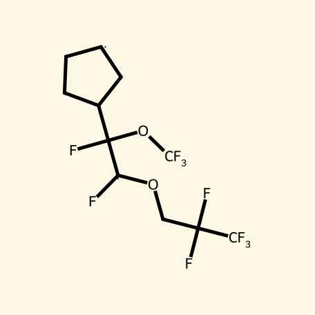 F[C](OCC(F)(F)C(F)(F)F)C(F)(OC(F)(F)F)C1C[CH]CC1